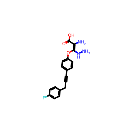 NN/C(Oc1ccc(C#CCc2ccc(F)cc2)cc1)=C(\N)C(=O)O